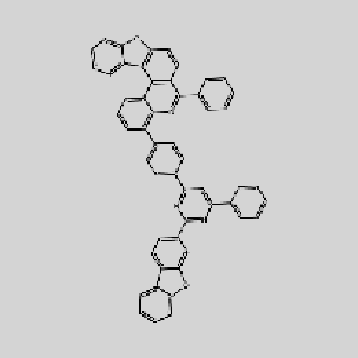 c1ccc(-c2cc(-c3ccc(-c4cccc5c4nc(-c4ccccc4)c4ccc6sc7ccccc7c6c45)cc3)nc(-c3ccc4c(c3)oc3ccccc34)n2)cc1